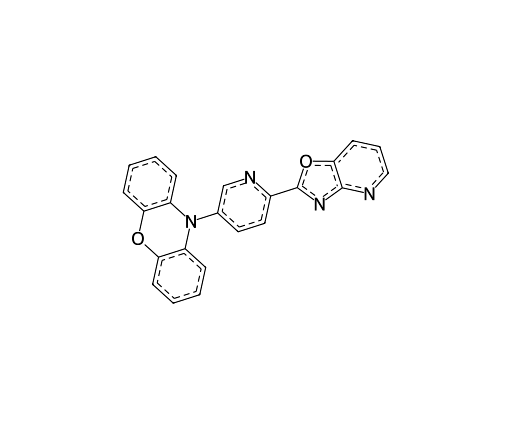 c1ccc2c(c1)Oc1ccccc1N2c1ccc(-c2nc3ncccc3o2)nc1